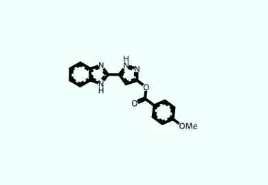 COc1ccc(C(=O)Oc2cc(-c3nc4ccccc4[nH]3)[nH]n2)cc1